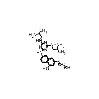 CC(N)CNc1nc(NCC(C)N)nc(Nc2ccc3c(O)cc(SOOO)cc3c2)n1